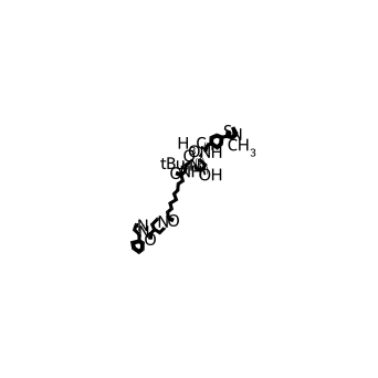 Cc1ncsc1-c1ccc([C@H](C)NC(=O)[C@@H]2C[C@@H](O)CN2C(=O)[C@@H](NC(=O)CCCCCCCCC(=O)N2CCC(C(=O)N3N=CCC3c3ccccc3)CC2)C(C)(C)C)cc1